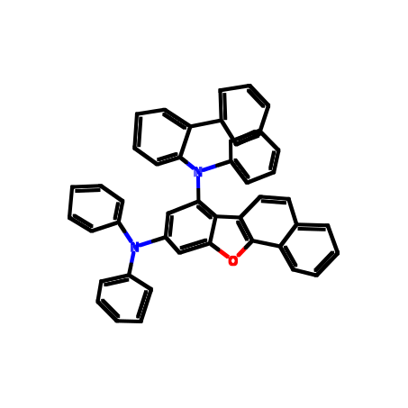 c1ccc(-c2ccccc2N(c2ccccc2)c2cc(N(c3ccccc3)c3ccccc3)cc3oc4c5ccccc5ccc4c23)cc1